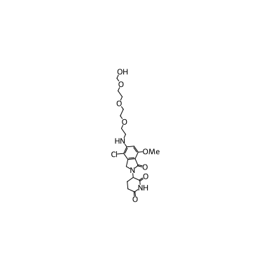 COc1cc(NCCOCCOCCOCO)c(Cl)c2c1C(=O)N(C1CCC(=O)NC1=O)C2